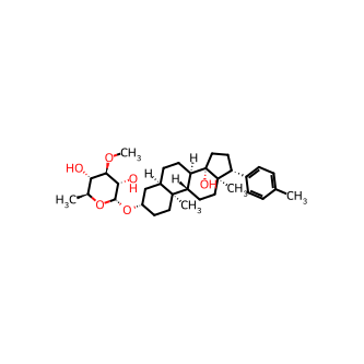 CO[C@H]1[C@H](O)[C@H](O[C@H]2CC[C@@]3(C)[C@H](CC[C@@H]4[C@@H]3CC[C@]3(C)[C@@H](c5ccc(C)cc5)CC[C@]43O)C2)O[C@@H](C)[C@@H]1O